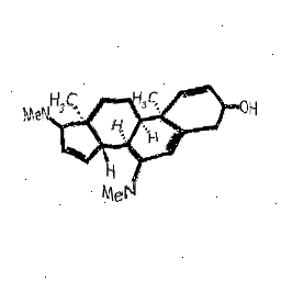 CNC1C=C2CC(O)C=C[C@]2(C)[C@@H]2CC[C@]3(C)C(NC)C=C[C@H]3[C@H]12